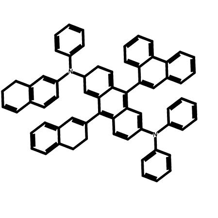 C1=Cc2ccc(N(c3ccccc3)C3C=c4c(C5=Cc6ccccc6CC5)c5ccc(N(c6ccccc6)c6ccccc6)cc5c(-c5cc6ccccc6c6ccccc56)c4=CC3)cc2CC1